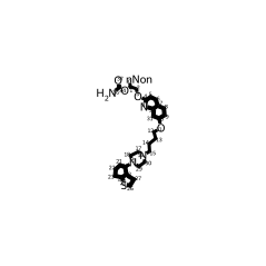 CCCCCCCCCC(COc1ccc2ccc(OCCCCN3CCN(c4cccc5sccc45)CC3)cc2n1)OC(N)=O